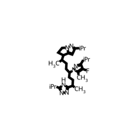 Cc1c(F)c(C(C)C)nn1C(CCC(C)c1nnc(C(C)C)[nH]1)CCC(C)C1CCn2nc(C(C)C)cc21